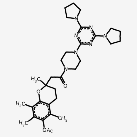 CC(=O)Oc1c(C)c(C)c2c(c1C)CCC(C)(CC(=O)N1CCN(c3nc(N4CCCC4)nc(N4CCCC4)n3)CC1)O2